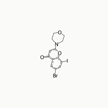 O=c1cc(N2CCOCC2)oc2c(I)cc(Br)cc12